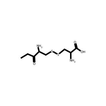 CCC(=O)C(N)CSSCC(N)C(=O)O